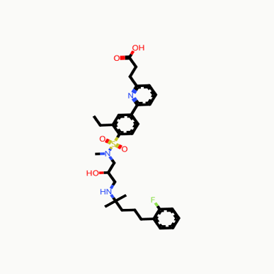 CCc1cc(-c2cccc(CCC(=O)O)n2)ccc1S(=O)(=O)N(C)CC(O)CNC(C)(C)CCCc1ccccc1F